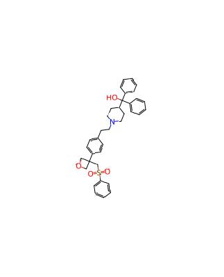 O=S(=O)(CC1(c2ccc(CCN3CCC(C(O)(c4ccccc4)c4ccccc4)CC3)cc2)COC1)c1ccccc1